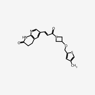 Cc1csc(COC2CN(C(=O)C=Cc3cnc4c(c3)CCC(=O)N4)C2)c1